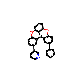 c1ccc(-c2ccc3c(c2)B2c4cc(-c5cccnc5)ccc4Oc4cccc(c42)O3)cc1